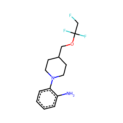 Nc1ccccc1N1CCC(COC(F)(F)CF)CC1